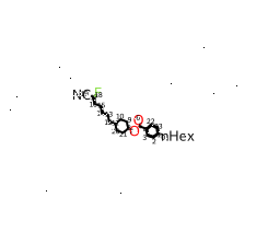 CCCCCCc1ccc(C(=O)OC2CCC(CCC=CC=C(F)C#N)CC2)cc1